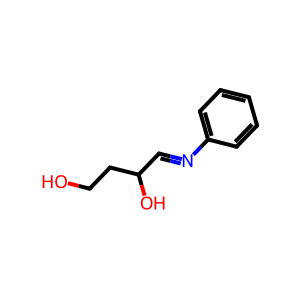 OCCC(O)C=Nc1ccccc1